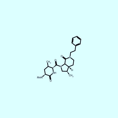 CN[C@H]1CC(C)[C@@H](C(=O)N2C[C@H](C)[C@H]3CCN(CCc4ccccc4)C(=O)C32)NC1=O